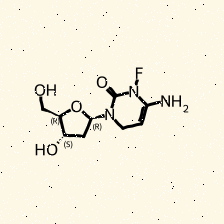 NC1=CCN([C@H]2C[C@H](O)[C@@H](CO)O2)C(=O)N1F